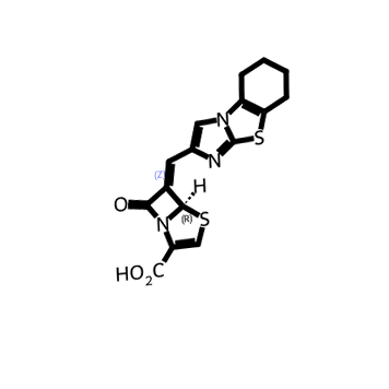 O=C(O)C1=CS[C@@H]2/C(=C\c3cn4c5c(sc4n3)CCCC5)C(=O)N12